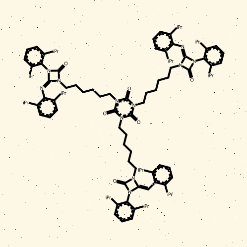 CC(C)c1cccc(C(C)C)c1/C=C1\N(CCCCCCn2c(=O)n(CCCCCCN3C(=O)N(c4c(C(C)C)cccc4C(C)C)C3=Nc3c(C(C)C)cccc3C(C)C)c(=O)n(CCCCCCN3C(=O)N(c4c(C(C)C)cccc4C(C)C)/C3=N/c3c(C(C)C)cccc3C(C)C)c2=O)C(=O)N1c1c(C(C)C)cccc1C(C)C